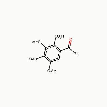 CCC(=O)c1cc(OC)c(OC)c(OC)c1C(=O)O